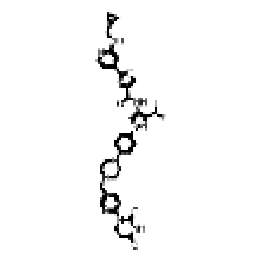 O=C1CCN(c2ccc(CN3CCN(c4ccc(-n5cc(NC(=O)c6coc(-c7ccnc(NCC8CC8)c7)n6)c(C(F)F)n5)cc4)CC3)cn2)C(=O)N1